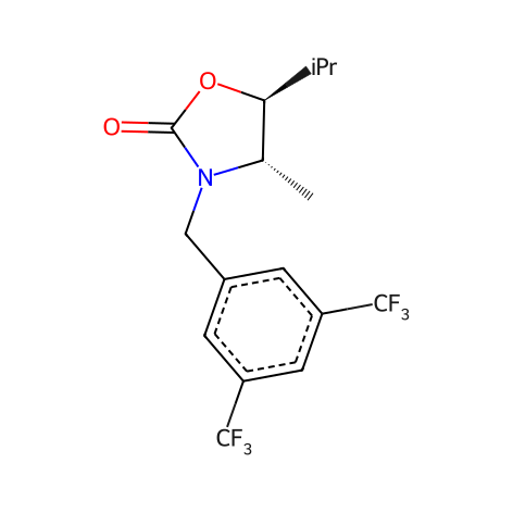 CC(C)[C@@H]1OC(=O)N(Cc2cc(C(F)(F)F)cc(C(F)(F)F)c2)[C@H]1C